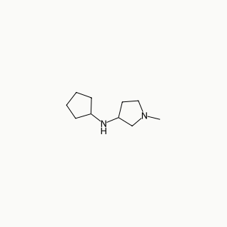 CN1CCC(NC2CCCC2)C1